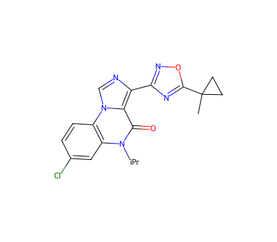 CC(C)n1c(=O)c2c(-c3noc(C4(C)CC4)n3)ncn2c2ccc(Cl)cc21